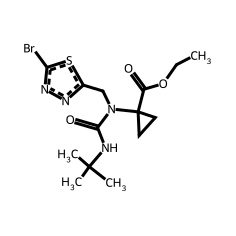 CCOC(=O)C1(N(Cc2nnc(Br)s2)C(=O)NC(C)(C)C)CC1